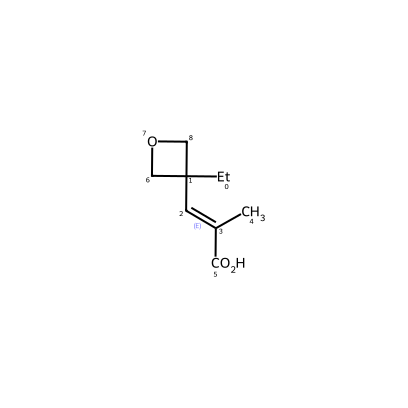 CCC1(/C=C(\C)C(=O)O)COC1